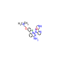 CN(C)CCOc1ccc(F)c(-c2cccc3c(N)nc(Nc4cccnc4C4CNCCO4)nc23)c1